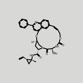 C=C[C@@H]1C[C@@]1(C)NC(=O)[C@@H]1C[C@@H]2CN1C(=O)[C@H](CCCC)NC(=O)OC/C=C\c1ccc3nc(-c4ccccc4)cc(c3c1)O2